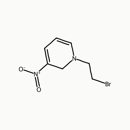 O=[N+]([O-])C1=CC=CN(CCBr)C1